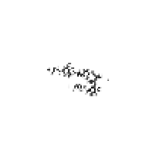 C=CCc1cc(Cl)c(OCCOc2ccc(CC3C(N)C3NCc3cc(CCCOC)ccc3Cl)cc2)c(Cl)c1